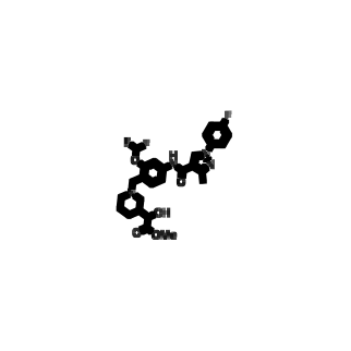 COC(=O)C(O)C1CCCN(Cc2ccc(NC(=O)c3cn(-c4ccc(F)cc4)nc3C)cc2OC(F)F)C1